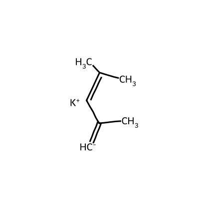 [CH-]=C(C)C=C(C)C.[K+]